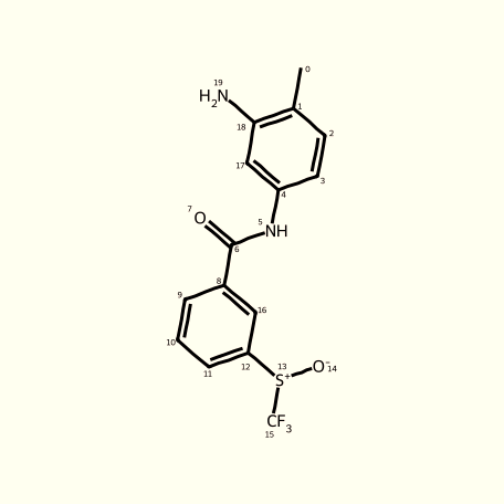 Cc1ccc(NC(=O)c2cccc([S+]([O-])C(F)(F)F)c2)cc1N